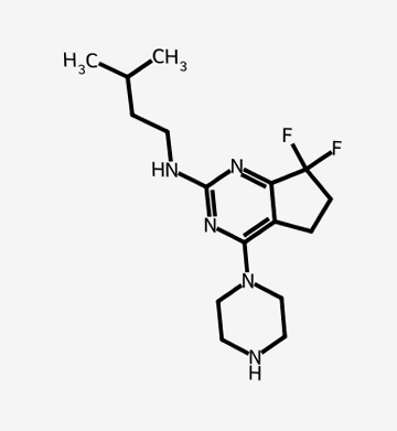 CC(C)CCNc1nc(N2CCNCC2)c2c(n1)C(F)(F)CC2